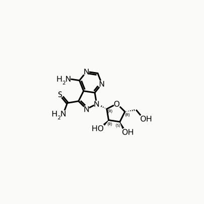 NC(=S)c1nn([C@@H]2O[C@H](CO)[C@@H](O)[C@H]2O)c2ncnc(N)c12